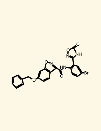 O=C(Nc1ccc(Br)cc1-c1noc(=O)[nH]1)c1noc2cc(OCc3ccccc3)ccc12